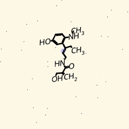 C=C(CO)C(=O)NC/C=C(\CC)c1cc(O)ccc1NC